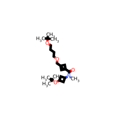 CN(C(=O)C12CC(COCCCCOC(C)(C)C)(C1)C2)C1CC(OC(C)(C)C)C1